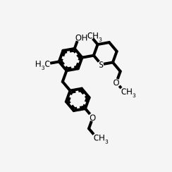 CCOc1ccc(Cc2cc(C3SC(COC)CCC3C)c(O)cc2C)cc1